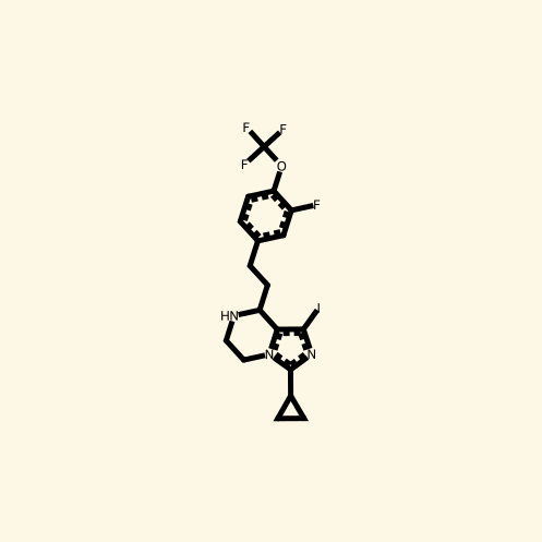 Fc1cc(CCC2NCCn3c(C4CC4)nc(I)c32)ccc1OC(F)(F)F